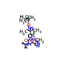 Cc1nn(COCC[Si](C)(C)C)c(C)c1-c1ccc(NC(=O)[C@@H](NC(=O)c2cnnn2C)C(C2CC2)C2CC2)nc1F